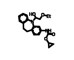 CCOCC(O)N1c2ccccc2CCc2ccc(NC(=O)OC3CC3)cc21